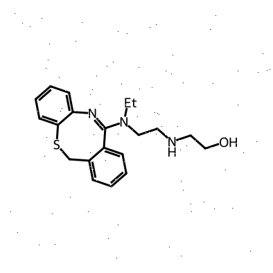 CCN(CCNCCO)/C1=N/c2ccccc2SCc2ccccc21